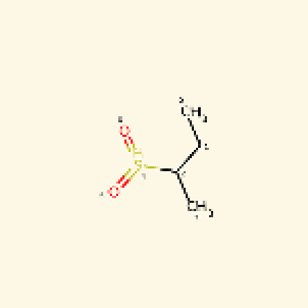 C[CH]C(C)[SH](=O)=O